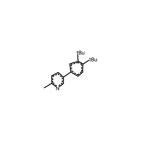 Cc1ccc(-c2ccc(C(C)(C)C)c(C(C)(C)C)c2)cn1